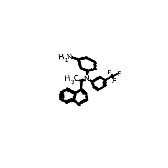 C[C@H](c1cccc2ccccc12)N(c1cccc(C(F)(F)F)c1)C1CCCC(N)C1